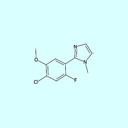 COc1cc(-c2nc[c]n2C)c(F)cc1Cl